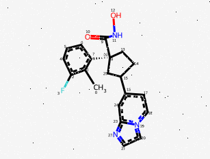 Cc1c(F)cccc1[C@]1(C(=O)NO)CCC(c2ccn3ccnc3c2)C1